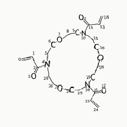 C=CC(=O)N1CCOCCN(C(=O)C=C)CCOCCN(C(=O)C=C)CCOCC1